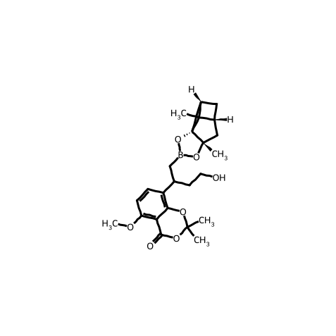 COc1ccc(C(CCO)CB2O[C@@]34[C@@H]5C[C@H](C[C@]3(C)O2)C54C)c2c1C(=O)OC(C)(C)O2